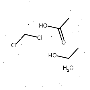 CC(=O)O.CCO.ClCCl.O